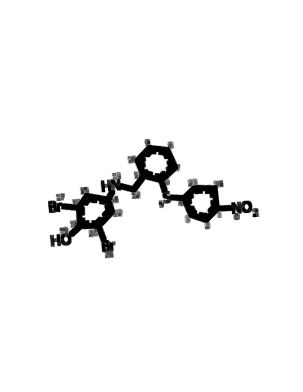 O=[N+]([O-])c1ccc(Sc2ccccc2CNc2cc(Br)c(O)c(Br)c2)cc1